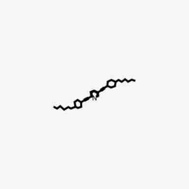 CCCCCCC1CCC(C#Cc2ccc(C#CC3CCC(CCCCCC)CC3)nc2)CC1